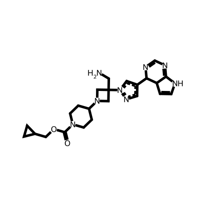 NCC1(n2cc(C3N=CN=C4NC=CC43)cn2)CN(C2CCN(C(=O)OCC3CC3)CC2)C1